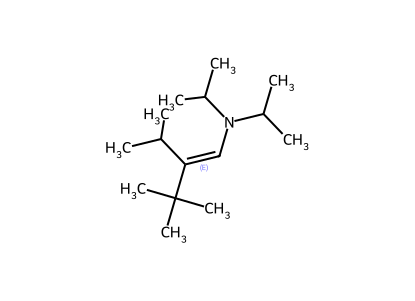 CC(C)/C(=C\N(C(C)C)C(C)C)C(C)(C)C